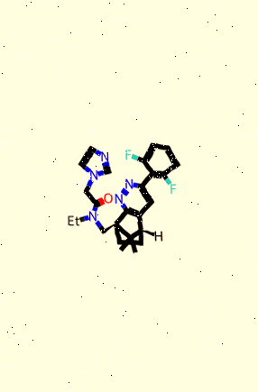 CCN(C[C@@]12CC[C@@H](c3cc(-c4c(F)cccc4F)nnc31)C2(C)C)C(=O)Cn1ccnc1